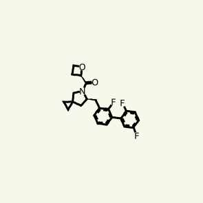 O=C([C@H]1CCO1)N1CC2(CC2)C[C@@H]1Cc1cccc(-c2cc(F)ccc2F)c1F